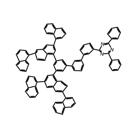 c1ccc(-c2nc(-c3ccccc3)nc(-c3cccc(-c4cccc(-c5cc(-c6cc(-c7cccc8ccccc78)cc7cc(-c8cccc9ccccc89)ccc67)cc(-c6cc(-c7cccc8ccccc78)cc7cc(-c8cccc9ccccc89)ccc67)c5)c4)c3)n2)cc1